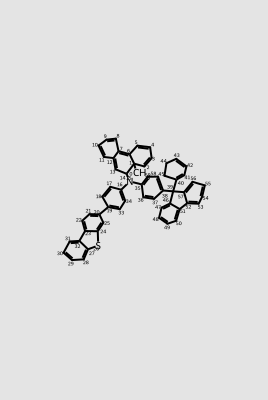 CC12C=CC=CC1=c1ccccc1=CC2N(c1ccc(-c2ccc3c(c2)sc2ccccc23)cc1)c1ccc(C2(C3=CC=CCC3)c3ccccc3-c3ccccc32)cc1